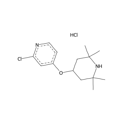 CC1(C)CC(Oc2ccnc(Cl)c2)CC(C)(C)N1.Cl